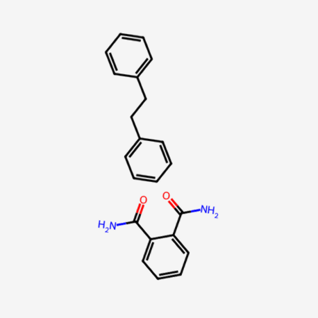 NC(=O)c1ccccc1C(N)=O.c1ccc(CCc2ccccc2)cc1